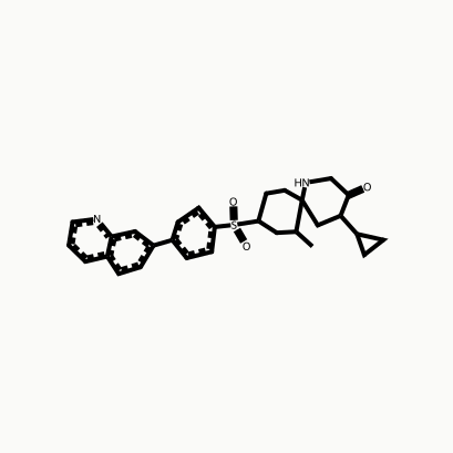 CC1CC(S(=O)(=O)c2ccc(-c3ccc4cccnc4c3)cc2)CCC12CC(C1CC1)C(=O)CN2